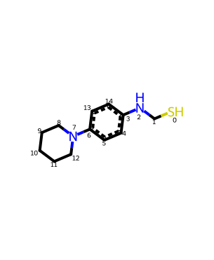 SCNc1ccc(N2CCCCC2)cc1